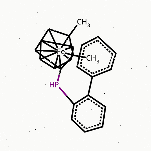 C[C]12[CH]3[CH]4[C]5(Pc6ccccc6-c6ccccc6)[C]1(C)[Fe]34251678[CH]2[CH]1[CH]6[CH]7[CH]28